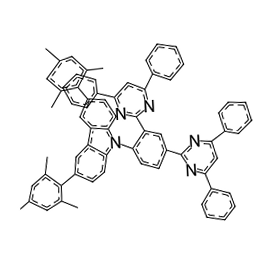 Cc1cc(C)c(-c2ccc3c(c2)c2cc(-c4c(C)cc(C)cc4C)ccc2n3-c2ccc(-c3nc(-c4ccccc4)cc(-c4ccccc4)n3)cc2-c2nc(-c3ccccc3)cc(-c3ccccc3)n2)c(C)c1